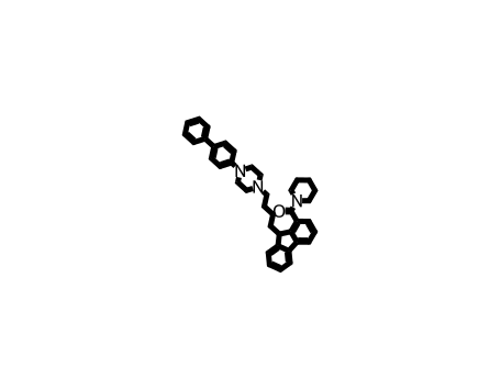 O=C(c1cccc2c1C(CCCCN1CCN(c3ccc(-c4ccccc4)cc3)CC1)c1ccccc1-2)N1CCCCC1